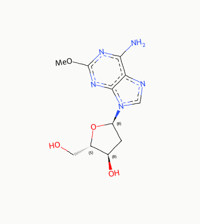 COc1nc(N)c2ncn([C@H]3C[C@@H](O)[C@H](CO)O3)c2n1